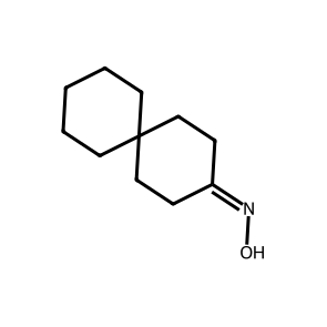 ON=C1CCC2(CCCCC2)CC1